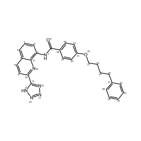 O=C(Nc1cccc2ccc(-c3nnn[nH]3)nc12)c1ccc(OCCCCc2ccccc2)cc1